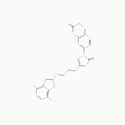 Cc1ncc(C#N)c2c1CC(NCCCc1cn(-c3cnc4c(n3)NC(=O)CO4)c(=O)o1)C2